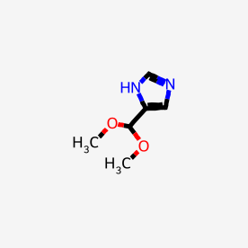 COC(OC)c1cnc[nH]1